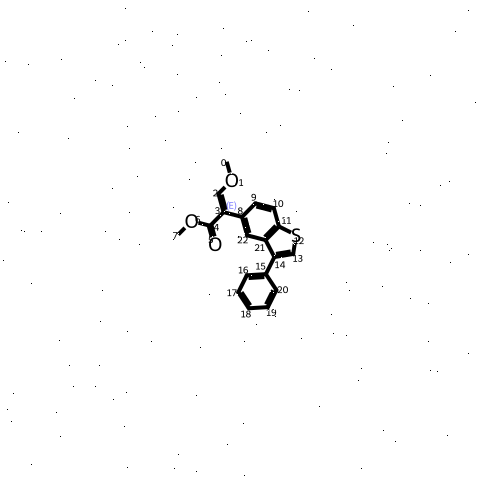 CO/C=C(/C(=O)OC)c1ccc2scc(-c3ccccc3)c2c1